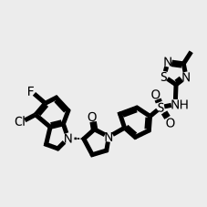 Cc1nsc(NS(=O)(=O)c2ccc(N3CC[C@H](N4CCc5c4ccc(F)c5Cl)C3=O)cc2)n1